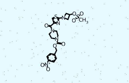 CS(=O)(=O)OC1CN(c2nc(C(=O)N3CCN(C(=O)OCc4ccc([N+](=O)[O-])cc4)CC3)cs2)C1